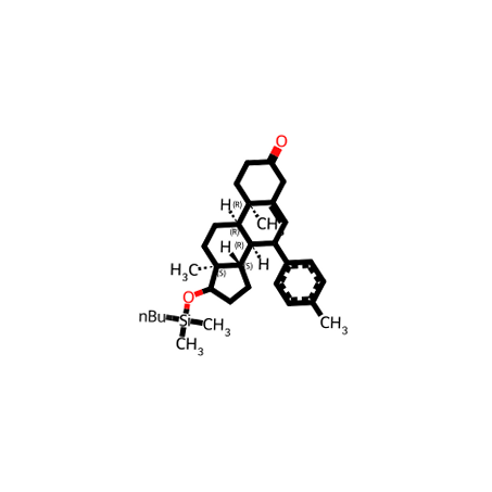 CCCC[Si](C)(C)OC1CC[C@H]2[C@@H]3C(c4ccc(C)cc4)C=C4CC(=O)CC[C@]4(C)[C@@H]3CC[C@]12C